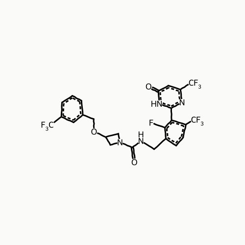 O=C(NCc1ccc(C(F)(F)F)c(-c2nc(C(F)(F)F)cc(=O)[nH]2)c1F)N1CC(OCc2cccc(C(F)(F)F)c2)C1